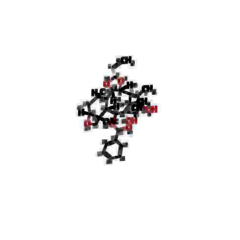 C=C[C@@H]1O[C@@H]2C3=C(C)[C@@H](O)C[C@@](O)([C@@H](OC(=O)c4ccccc4)[C@H]4[C@@](C)(CC[C@H]5OC[C@]54OC(C)=O)[C@@H]2O1)C3(C)C